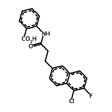 O=C(CCc1ccc2c(Cl)c(F)ccc2c1)Nc1ccccc1C(=O)O